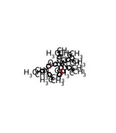 CC(C)(C)c1ccc(N2B3c4oc5cc6c(cc5c4N(c4ccc(C(C)(C)C)cc4-c4ccccc4)c4cc5c(oc7ccccc75)c(c43)-c3cc4c(cc32)oc2ccc(N(c3ccc(C(C)(C)C)cc3)c3ccc(C(C)(C)C)cc3)cc24)C(C)(C)CCC6(C)C)cc1